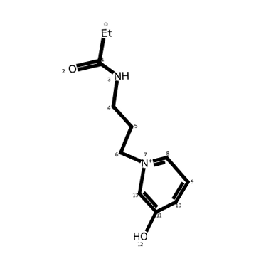 CCC(=O)NCCC[n+]1cccc(O)c1